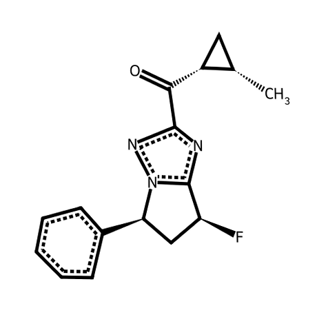 C[C@H]1C[C@H]1C(=O)c1nc2n(n1)[C@H](c1ccccc1)C[C@@H]2F